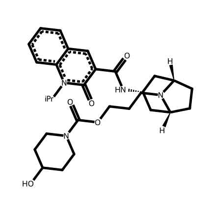 CC(C)n1c(=O)c(C(=O)N[C@H]2C[C@H]3CC[C@@H](C2)N3CCCOC(=O)N2CCC(O)CC2)cc2ccccc21